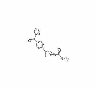 CC(CNC(N)=O)c1ccc(C(=O)c2cccs2)cc1